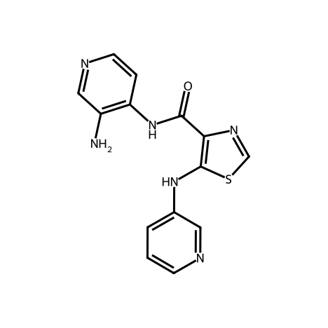 Nc1cnccc1NC(=O)c1ncsc1Nc1cccnc1